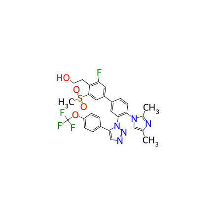 Cc1cn(-c2ccc(-c3cc(F)c(CCO)c(S(C)(=O)=O)c3)cc2-n2nncc2-c2ccc(OC(F)(F)F)cc2)c(C)n1